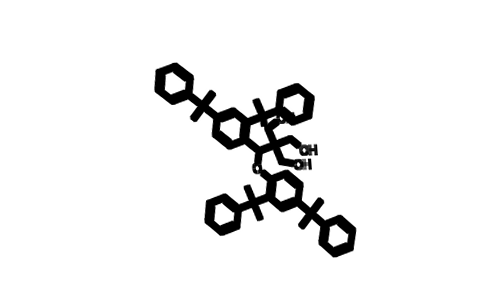 CC(C)(c1ccccc1)c1ccc(OC(c2ccc(C(C)(C)c3ccccc3)cc2C(C)(C)c2ccccc2)C(CO)(CO)CO)c(C(C)(C)c2ccccc2)c1